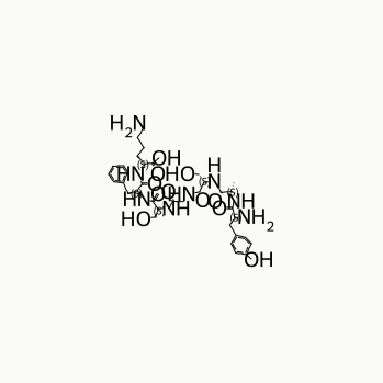 C[C@H](NC(=O)[C@@H](N)Cc1ccc(O)cc1)C(=O)N[C@@H](CO)C(=O)NCC(=O)N[C@@H](CO)C(=O)N[C@@H](Cc1ccccc1)C(=O)N[C@@H](CCCCN)C(=O)O